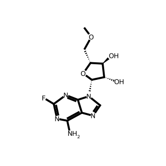 COC[C@H]1O[C@@H](n2cnc3c(N)nc(F)nc32)[C@@H](O)[C@@H]1O